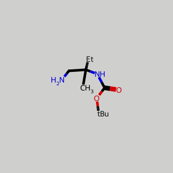 CCC(C)(CN)NC(=O)OC(C)(C)C